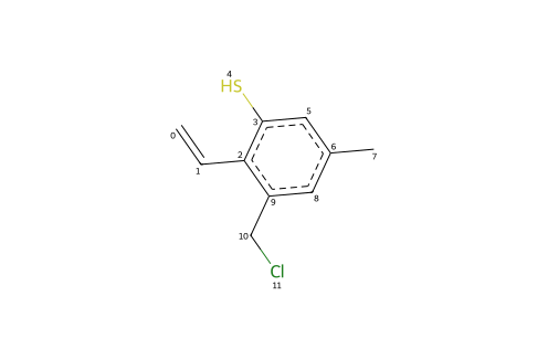 C=Cc1c(S)cc(C)cc1CCl